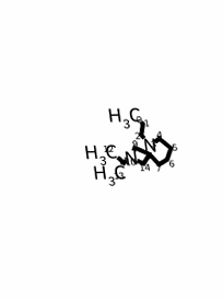 CCCN1CCCCC12CN(C(C)C)C2